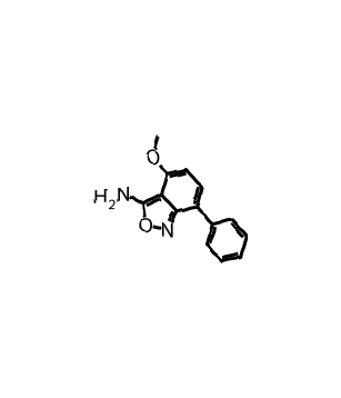 COc1ccc(-c2ccccc2)c2noc(N)c12